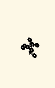 c1ccc(-c2cc(-c3ccccc3)nc(-n3c4cc5ccc6ccccc6c5cc4c4c5cnn(-c6ccccc6)c5ccc43)n2)cc1